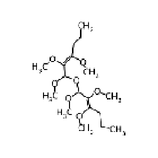 CCCC(OC)=C(OC)C(OC)OC(OC)C(OC)=C(CCC)OC